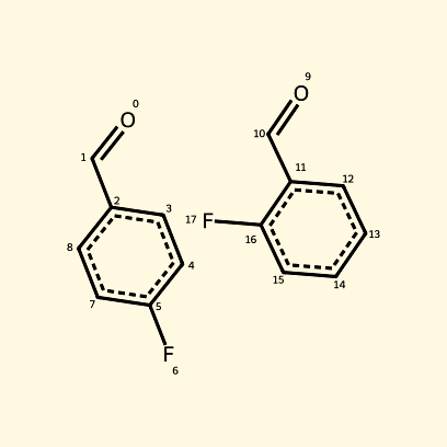 O=Cc1ccc(F)cc1.O=Cc1ccccc1F